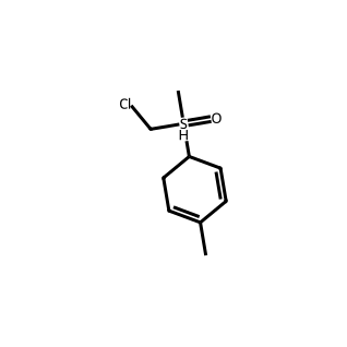 CC1=CCC([SH](C)(=O)CCl)C=C1